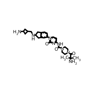 CC(C)(N)C(=O)N1CCN(C(=O)Nc2ccn(-c3ccc4c(c3)CC(NCC3CC(N)C3)C4)c(=O)n2)CC1